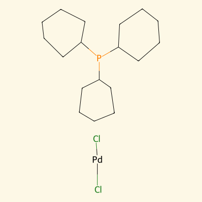 C1CCC(P(C2CCCCC2)C2CCCCC2)CC1.[Cl][Pd][Cl]